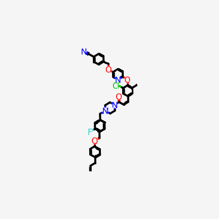 CCCc1ccc(OCc2ccc(CN3CCN(C(=O)/C=C\c4cc(C)c(Oc5ccc(OCc6ccc(C#N)cc6)cn5)c(Cl)c4)CC3)cc2F)cc1